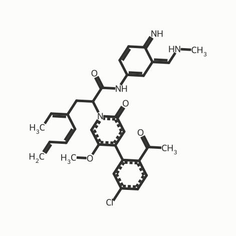 C=C/C=C\C(=C/C)CC(C(=O)NC1=C/C(=C/NC)C(=N)C=C1)n1cc(OC)c(-c2cc(Cl)ccc2C(C)=O)cc1=O